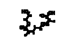 C=C(C)C(=O)O.CC(=CCCO)C(=O)OCCO